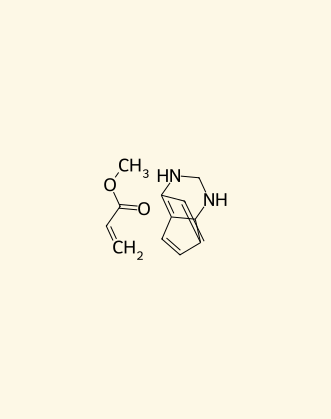 C1=CC2=C3C=C1C2NCN3.C=CC(=O)OC